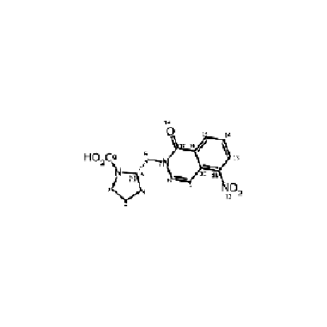 O=C(O)N1CCC[C@H]1Cn1ccc2c([N+](=O)[O-])cccc2c1=O